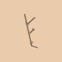 CCCCCC/C=C\COC(=O)CCCCCCCCCC(CCCCCCCCCC(OCCCCCCCCCC)OCCCCCCCCCC)CCCCCN(C)C